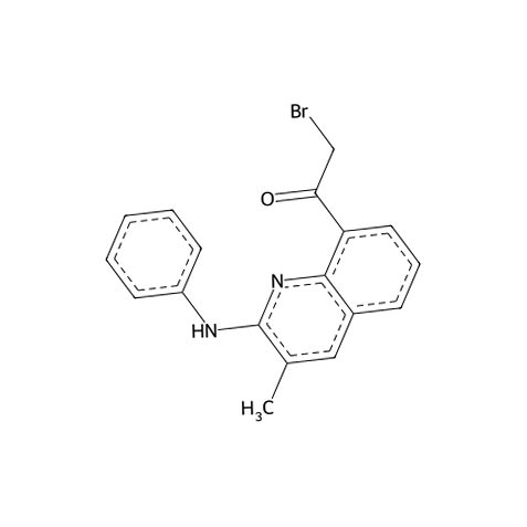 Cc1cc2cccc(C(=O)CBr)c2nc1Nc1ccccc1